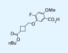 CCCCOC(=O)C1CC(COc2cc(C(=O)O)c(OC)cc2F)C1